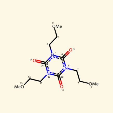 COCCn1c(=O)n(CCOC)c(=O)n(CCOC)c1=O